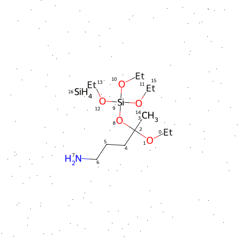 CCOC(C)(CCCN)O[Si](OCC)(OCC)OCC.[SiH4]